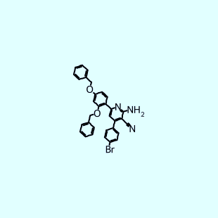 N#Cc1c(-c2ccc(Br)cc2)cc(-c2ccc(OCc3ccccc3)cc2OCc2ccccc2)nc1N